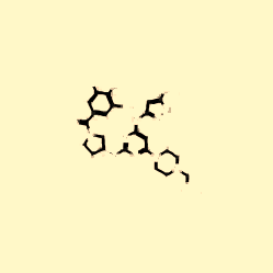 CCN1CCN(c2cc(Nc3cc(C)[nH]n3)nc(N[C@H]3CCN(C(=O)c4cc(F)c(Cl)c(F)c4)C3)n2)CC1